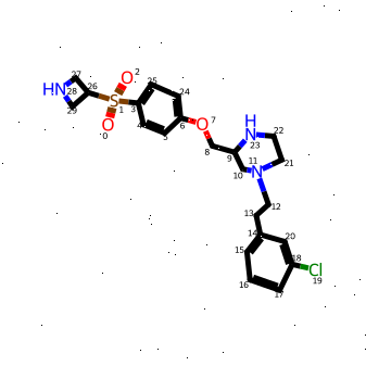 O=S(=O)(c1ccc(OCC2CN(CCc3cccc(Cl)c3)CCN2)cc1)C1CNC1